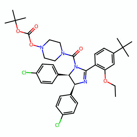 CCOc1cc(C(C)(C)C)ccc1C1=N[C@@H](c2ccc(Cl)cc2)[C@@H](c2ccc(Cl)cc2)N1C(=O)N1CCN(OC(=O)OC(C)(C)C)CC1